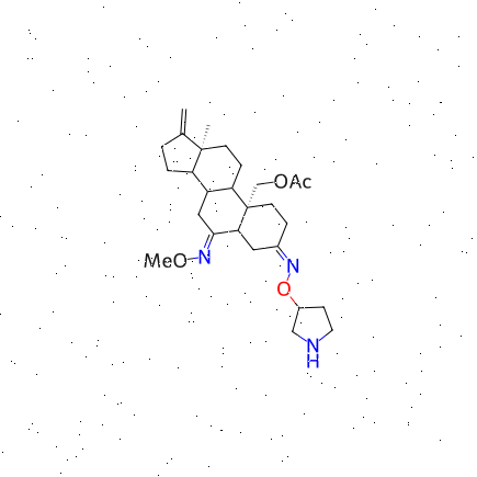 C=C1CCC2C3CC(=NOC)C4CC(=NOC5CCNC5)CC[C@]4(COC(C)=O)C3CC[C@]12C